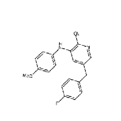 COc1ccc(Nc2cc(Cc3ccc(F)cc3)cnc2C#N)cc1